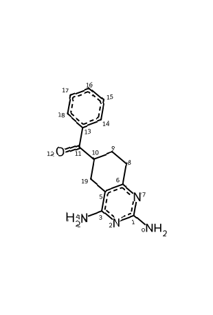 Nc1nc(N)c2c(n1)CCC(C(=O)c1ccccc1)C2